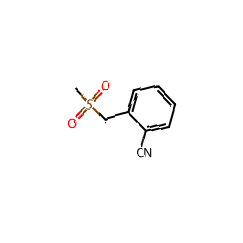 CS(=O)(=O)[CH]c1ccccc1C#N